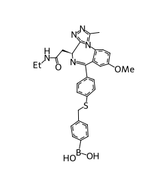 CCNC(=O)C[C@@H]1N=C(c2ccc(SCc3ccc(B(O)O)cc3)cc2)c2cc(OC)ccc2-n2c(C)nnc21